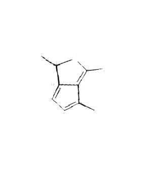 C[C]1SC(C)=C2C(C)=CC=C12